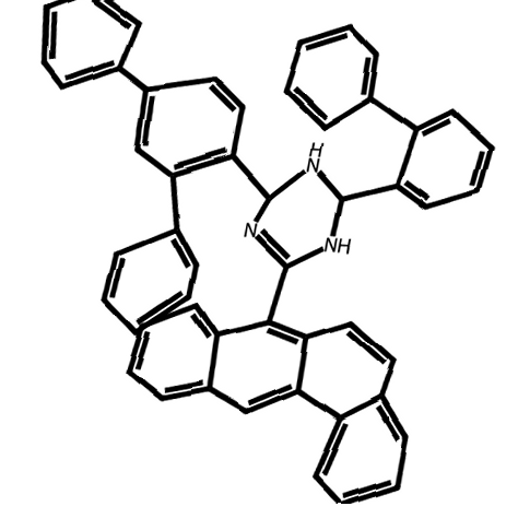 c1ccc(-c2ccc(C3N=C(c4c5ccccc5cc5c4ccc4ccccc45)NC(c4ccccc4-c4ccccc4)N3)c(-c3ccccc3)c2)cc1